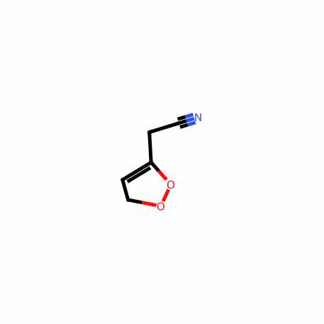 N#CCC1=CCOO1